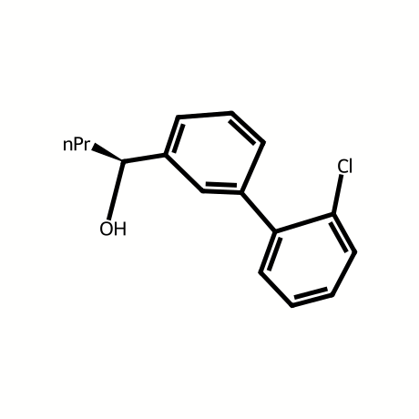 CCC[C@H](O)c1cccc(-c2ccccc2Cl)c1